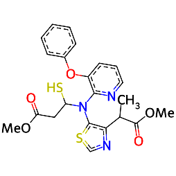 COC(=O)CC(S)N(c1ncccc1Oc1ccccc1)c1scnc1C(C)C(=O)OC